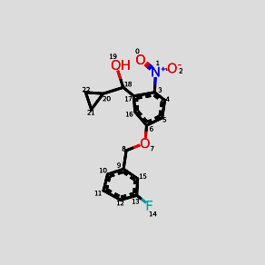 O=[N+]([O-])c1ccc(OCc2cccc(F)c2)cc1C(O)C1CC1